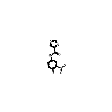 O=C(Nc1ccc(F)c([N+](=O)[O-])c1)c1cscn1